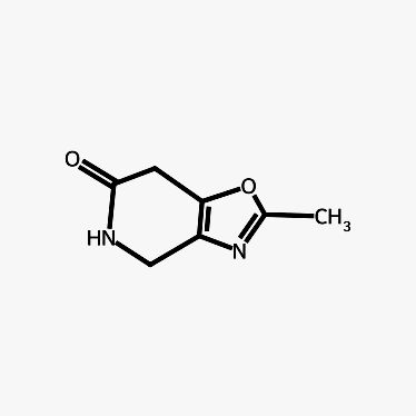 Cc1nc2c(o1)CC(=O)NC2